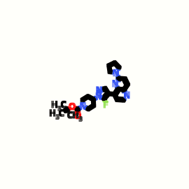 CC(C)(C)OC(=O)N1CCC(n2ncc(-c3ccnc4ccc(N5CCCC5)nc34)c2F)CC1